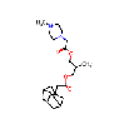 [CH2]C(COC(=O)CN1CCN(C)CC1)COC(=O)CC12CC3CC(CC(C3)C1)C2